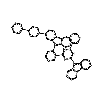 c1ccc(-c2ccc(-c3ccc4c5ccccc5n(-c5ccccc5-c5nc(-c6ccccc6)nc(-n6c7ccccc7c7ccccc76)n5)c4c3)cc2)cc1